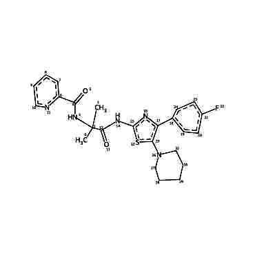 CC(C)(NC(=O)c1ccccn1)C(=O)Nc1nc(-c2ccc(F)cc2)c(N2CCCCC2)s1